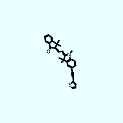 CN1/C(=C/C=C2/C(=O)c3ccccc3C2(C)C)C(C)(C)c2cc(C#Cc3cccs3)ccc21